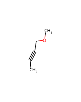 CC#C[CH]OC